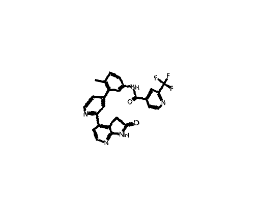 Cc1ccc(NC(=O)c2ccnc(C(F)(F)F)c2)cc1-c1ccnc(-c2ccnc3c2CC(=O)N3)c1